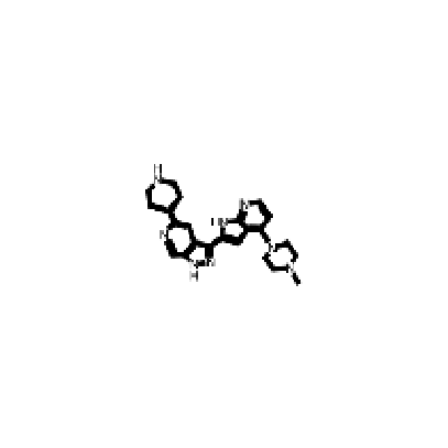 CN1CCN(c2ccnc3[nH]c(-c4n[nH]c5cnc(C6CCNCC6)cc45)cc23)CC1